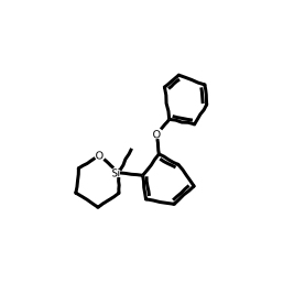 C[Si]1(c2ccccc2Oc2ccccc2)CCCCO1